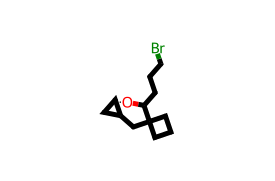 [O]C(CCCBr)C1(CC2CC2)CCC1